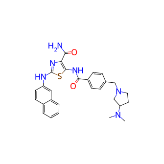 CN(C)C1CCN(Cc2ccc(C(=O)Nc3sc(Nc4ccc5ccccc5c4)nc3C(N)=O)cc2)C1